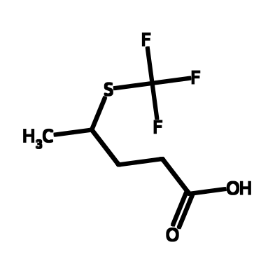 CC(CCC(=O)O)SC(F)(F)F